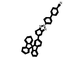 N#Cc1ccc(-c2ccc(-n3nc4ccc(-c5ccc6c(c5)C5(c7ccccc7-c7ccccc75)c5ccccc5-6)cc4n3)cc2)cc1